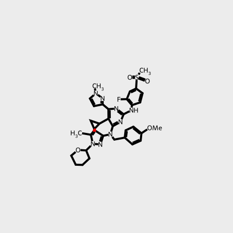 COc1ccc(CN(c2cc(C)n(C3CCCCO3)n2)c2nc(Nc3ccc(S(C)(=O)=O)cc3F)nc(-c3ccn(C)n3)c2C2CC2)cc1